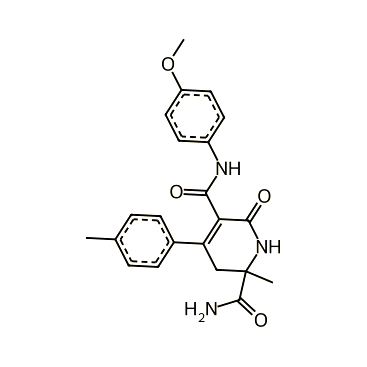 COc1ccc(NC(=O)C2=C(c3ccc(C)cc3)CC(C)(C(N)=O)NC2=O)cc1